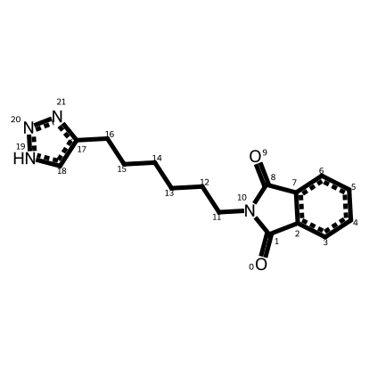 O=C1c2ccccc2C(=O)N1CCCCCCc1c[nH]nn1